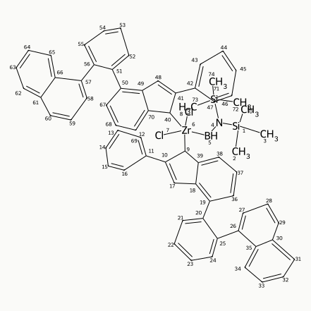 C[Si](C)(C)N([BH][Zr]([Cl])([Cl])([CH]1C(c2ccccc2)=Cc2c(-c3ccccc3-c3cccc4ccccc34)cccc21)[CH]1C(c2ccccc2)=Cc2c(-c3ccccc3-c3cccc4ccccc34)cccc21)[Si](C)(C)C